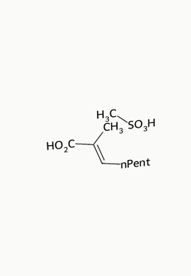 CCCCCC=C(C)C(=O)O.CS(=O)(=O)O